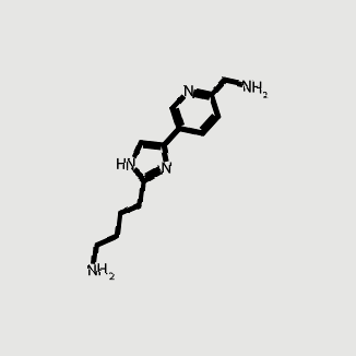 NCCCCc1nc(-c2ccc(CN)nc2)c[nH]1